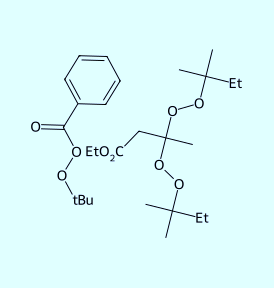 CC(C)(C)OOC(=O)c1ccccc1.CCOC(=O)CC(C)(OOC(C)(C)CC)OOC(C)(C)CC